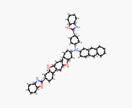 c1ccc2cc3cc(N(c4ccc(-c5nc6ccccc6o5)cc4)c4ccc5c(c4)oc4cc6c(cc45)oc4cc(-c5nc7ccccc7o5)ccc46)ccc3cc2c1